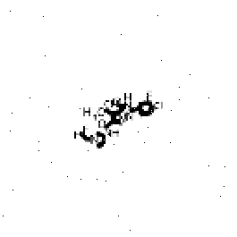 CC(C)c1c(C(=O)NC2CCN(CC(F)F)C2)cn2nc(-c3ccc(Cl)c(F)c3)[nH]c(=O)c12